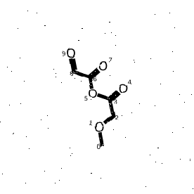 COCC(=O)OC(=O)C=O